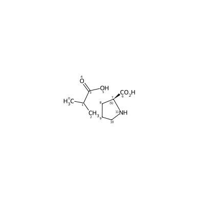 CC(C)C(=O)O.O=C(O)[C@@H]1CCCN1